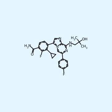 CC(C)(O)CNc1nc(-c2ccc(F)cc2)cn2c(-c3ccc(C(N)=O)c(F)c3C3CC3)cnc12